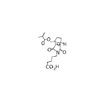 C=C(C)C(=O)OCC12C=C[C@@H](O1)C1C(=O)N(CCCCC(=O)O)C(=O)C12